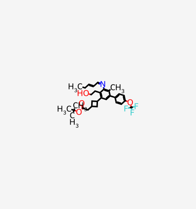 CC/C=C/C=N\c1c(C)c(-c2ccc(OC(F)(F)F)cc2)cc(C2CC(CC(=O)OC(C)(C)C)C2)c1CCO